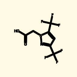 O=C(O)Cn1nc(C(F)(F)F)cc1C(F)(F)F